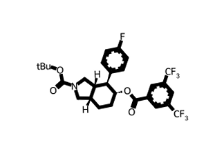 CC(C)(C)OC(=O)N1C[C@H]2CC[C@@H](OC(=O)c3cc(C(F)(F)F)cc(C(F)(F)F)c3)[C@H](c3ccc(F)cc3)[C@H]2C1